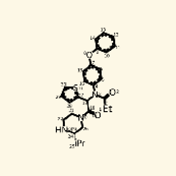 CCC(=O)N(c1ccc(Oc2ccccc2)cc1)C(C(=O)N1CCN[C@@H](C(C)C)C1)c1cccs1